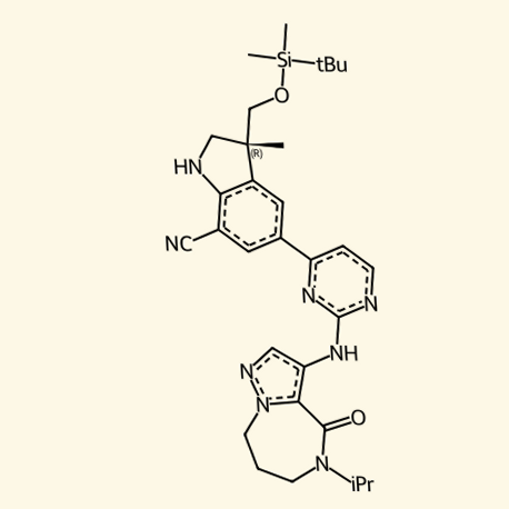 CC(C)N1CCCn2ncc(Nc3nccc(-c4cc(C#N)c5c(c4)[C@@](C)(CO[Si](C)(C)C(C)(C)C)CN5)n3)c2C1=O